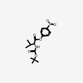 CC(C)[C@H](NC(=O)OC(C)(C)C)C(=O)Oc1ccc([N+](=O)[O-])cc1